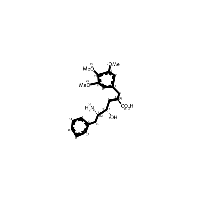 COc1cc(C[C@H](C[C@H](O)[C@@H](N)Cc2ccccc2)C(=O)O)cc(OC)c1OC